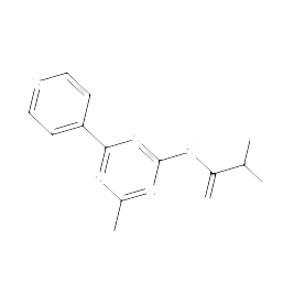 CCC(CC)C(=O)Nc1nc(C)nc(-c2ccncc2)n1